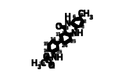 Cc1ccc2c(c1)NC(=O)c1cc(-c3cccc(NS(C)(=O)=O)c3)ccc1N2